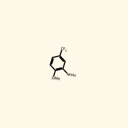 COc1ccc(C(F)(F)F)cc1NC(C)=O